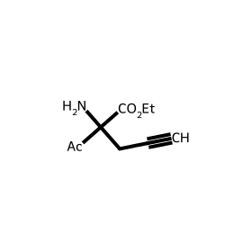 C#CCC(N)(C(C)=O)C(=O)OCC